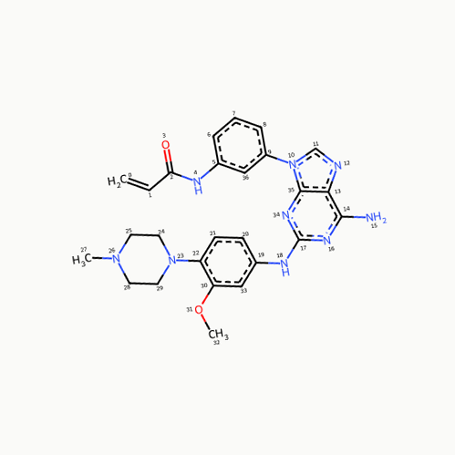 C=CC(=O)Nc1cccc(-n2cnc3c(N)nc(Nc4ccc(N5CCN(C)CC5)c(OC)c4)nc32)c1